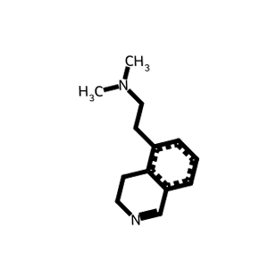 CN(C)CCc1cccc2c1CCN=C2